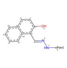 CCCCCNN=Cc1c(O)ccc2ccccc12